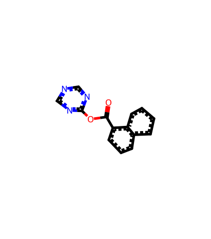 O=C(Oc1ncncn1)c1cccc2ccccc12